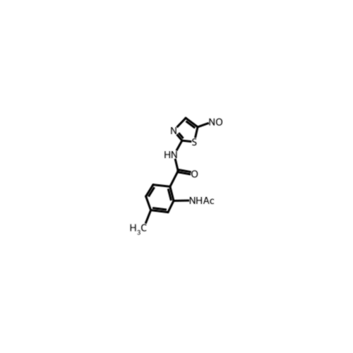 CC(=O)Nc1cc(C)ccc1C(=O)Nc1ncc(N=O)s1